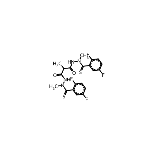 CC(C(=O)NN(C)C(=S)c1cc(F)ccc1F)C(=O)NN(C)C(=S)c1cc(F)ccc1F